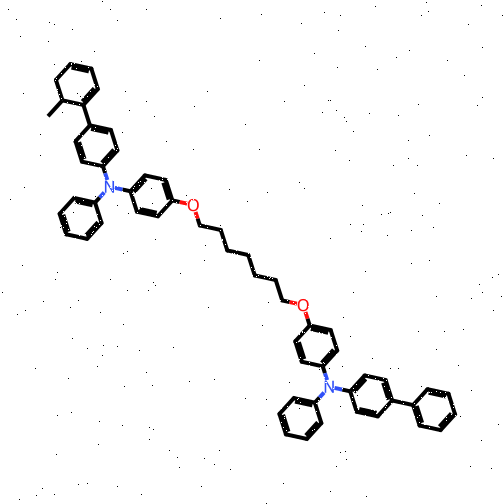 CC1CC=CC=C1c1ccc(N(c2ccccc2)c2ccc(OCCCCCCCOc3ccc(N(c4ccccc4)c4ccc(-c5ccccc5)cc4)cc3)cc2)cc1